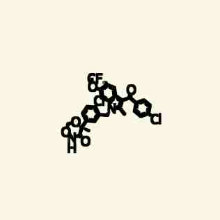 Cc1c(C(=O)c2ccc(Cl)cc2)c2ccc(OC(F)(F)F)cc2n1Cc1cc([C@@]2(C)OCONC2=O)ccc1Cl